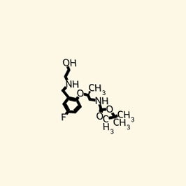 C[C@@H](CNC(=O)OC(C)(C)C)Oc1ccc(F)cc1CNCCO